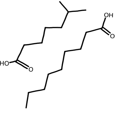 CC(C)CCCCC(=O)O.CCCCCCCCC(=O)O